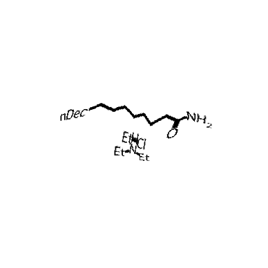 CCCCCCCCCCCCCCCCCC(N)=O.CCCl.CCNCC